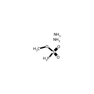 COS(=O)(=O)P.N.N